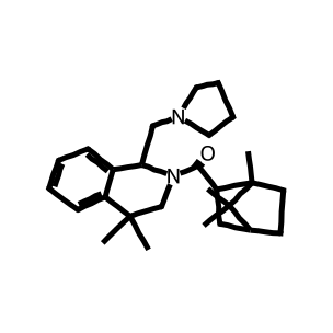 CC1(C)CN(C(=O)C2CC3CCC2(C)C3(C)C)C(CN2CCCC2)c2ccccc21